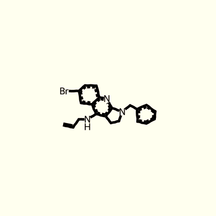 C=CCNc1c2c(nc3ccc(Br)cc13)N(Cc1ccccc1)CC2